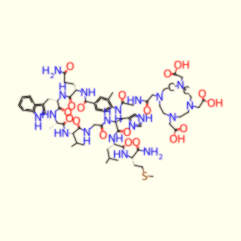 CSCC[C@H](NC(=O)[C@H](CC(C)C)NC(=O)[C@H](Cc1c[nH]cn1)NC(=O)CNC(=O)[C@@H](NC(=O)[C@H](C)NC(=O)[C@H](Cc1c[nH]c2ccccc12)NC(=O)[C@H](CCC(N)=O)NC(=O)c1ccc(NC(=O)CNC(=O)CN2CCN(CC(=O)O)CCN(CC(=O)O)CCN(CC(=O)O)CC2)c(C)c1)C(C)C)C(N)=O